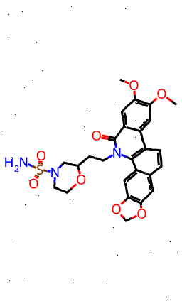 COc1cc2c(=O)n(CCC3CN(S(N)(=O)=O)CCO3)c3c4cc5c(cc4ccc3c2cc1OC)OCO5